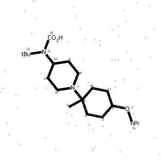 CCCOC1CCC(C)(N2CCC(N(C(=O)O)C(C)(C)C)CC2)CC1